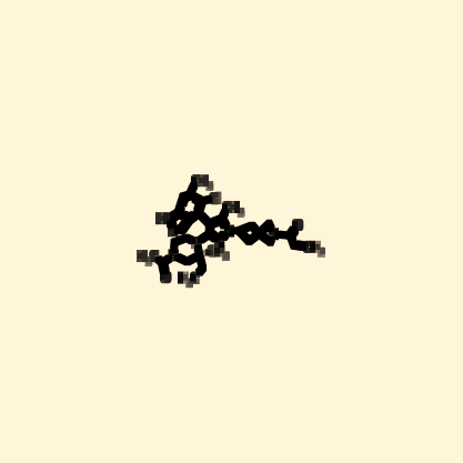 C=CC(=O)N1CC2(CC(n3nc(N4CCN(C(C)=O)C[C@]4(C)CC)c(-c4c(Cl)c(C)cc5[nH]ncc45)c3C)C2)C1